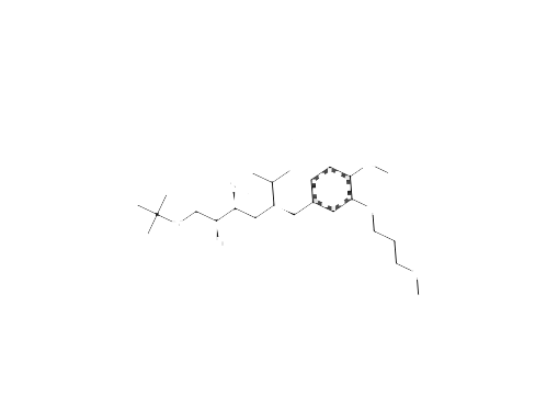 COCCCOc1cc(C[C@@H](C[C@H](N)[C@@H](O)CNC(C)(C)C)C(C)C)ccc1OC.Cl.Cl